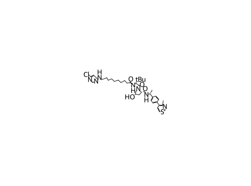 CC1=C(c2ccc([C@H](C)NC(=O)[C@@H]3C[C@@H](O)CN3C(=O)[C@@H](NC(=O)CCCCCCCCCNc3cc(Cl)ncn3)C(C)(C)C)cc2)C=CSC=N1